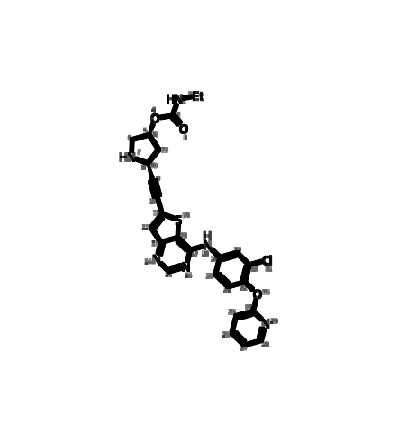 CCNC(=O)O[C@@H]1CN[C@H](C#Cc2cc3ncnc(Nc4ccc(Oc5ccccn5)c(Cl)c4)c3s2)C1